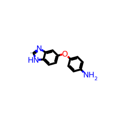 Nc1ccc(Oc2ccc3[nH][c]nc3c2)cc1